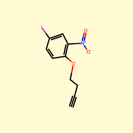 C#CCCOc1ccc(I)cc1[N+](=O)[O-]